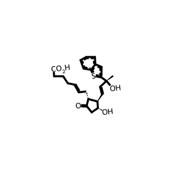 C[C@@](O)(C=C[C@H]1[C@H](O)CC(=O)[C@@H]1CC=CCCCC(=O)O)c1cc2ccccc2s1